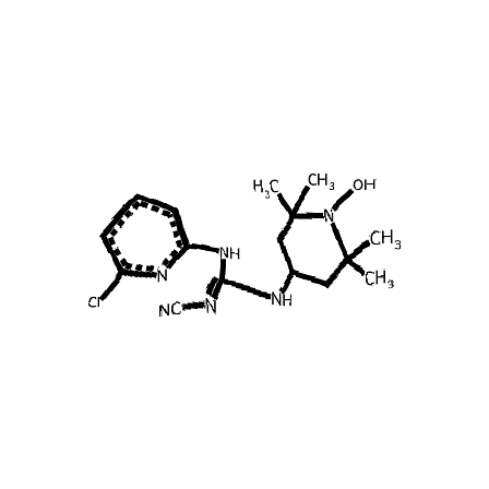 CC1(C)CC(NC(=NC#N)Nc2cccc(Cl)n2)CC(C)(C)N1O